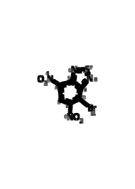 O=[N+]([O-])c1cc([N+](=O)[O-])c2nsnc2c1Br